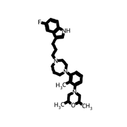 Cc1c(N2CCCN(CCCc3c[nH]c4ccc(F)cc34)CC2)cccc1N1CC(C)OC(C)C1